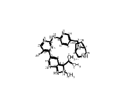 CC(C)c1c2cc(-c3nc(Nc4ccc(CN5C6CCC5CNC6)cn4)ncc3F)cnc2nn1C